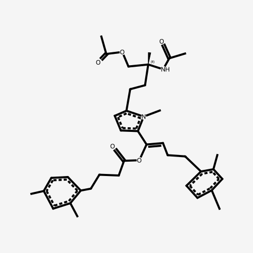 CC(=O)N[C@](C)(CCc1ccc(C(=CCCc2ccc(C)cc2C)OC(=O)CCCc2ccc(C)cc2C)n1C)COC(C)=O